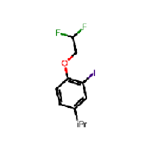 CC(C)c1ccc(OCC(F)F)c(I)c1